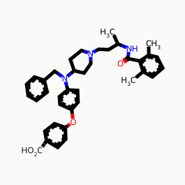 Cc1cccc(C)c1C(=O)NC(C)CCN1CCC(N(Cc2ccccc2)c2ccc(Oc3ccc(C(=O)O)cc3)cc2)CC1